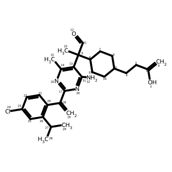 C=C(O)CCC1CCC(C(C)(C=O)c2c(C)nc(C(=C)c3ccc(Cl)cc3C(C)C)nc2N)CC1